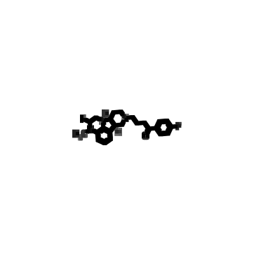 CN1c2cccc3c2N(CC1F)[C@H]1CCN(CCCC(=O)c2ccc(F)cc2)C[C@@H]31